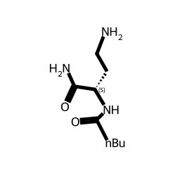 CCCCC(=O)N[C@@H](CCN)C(N)=O